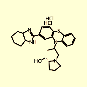 CC(CN1CCC[C@@H]1CO)N1c2ccccc2Sc2ccc(C3=NC4CCCCC4N3)cc21.Cl.Cl